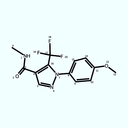 CNC(=O)c1cnn(-c2ccc(OC)cc2)c1C(F)(F)F